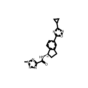 Cn1nnc(C(=O)N[C@@H]2CCc3cc(-c4nc(C5CC5)no4)ccc32)n1